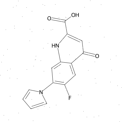 O=C(O)c1cc(=O)c2cc(F)c(-n3cccc3)cc2[nH]1